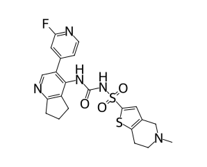 CN1CCc2sc(S(=O)(=O)NC(=O)Nc3c(-c4ccnc(F)c4)cnc4c3CCC4)cc2C1